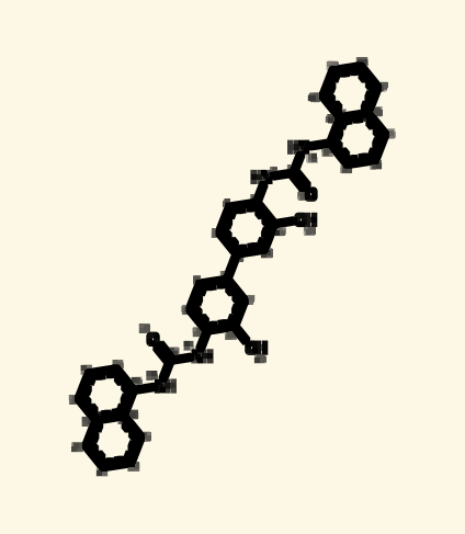 O=C(Nc1ccc(-c2ccc(NC(=O)Nc3cccc4ccccc34)c(O)c2)cc1O)Nc1cccc2ccccc12